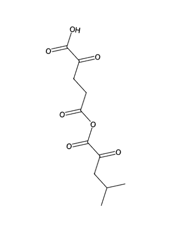 CC(C)CC(=O)C(=O)OC(=O)CCC(=O)C(=O)O